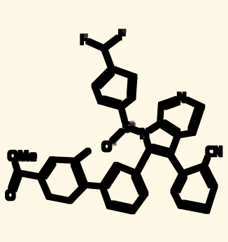 COC(=O)C1=CC(C)=C(c2cccc(-c3c(-c4ccccc4C#N)c4ccncc4n3[S+]([O-])c3ccc(C(F)F)cc3)c2)CC1